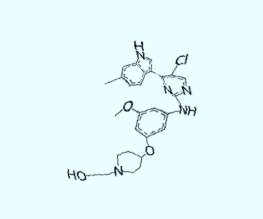 COc1cc(Nc2ncc(Cl)c(-c3c[nH]c4cc(C)ccc34)n2)cc(OC2CCN(CCO)CC2)c1